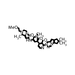 COCCN1CCn2nc(Nc3cc(-c4ccnc(-n5ncn6c7c(cc6c5=O)CC(C)(C)C7)c4CO)cn(C)c3=O)cc2[C@@H]1C